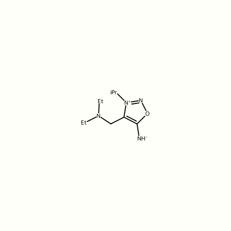 CCN(CC)Cc1c([NH-])on[n+]1C(C)C